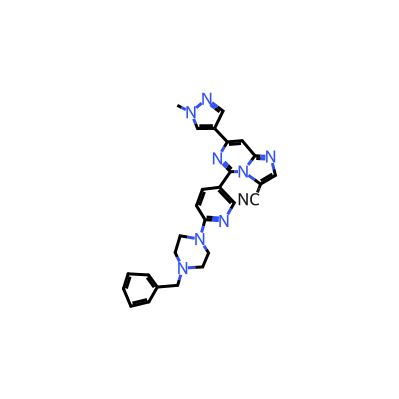 Cn1cc(-c2cc3ncc(C#N)n3c(-c3ccc(N4CCN(Cc5ccccc5)CC4)nc3)n2)cn1